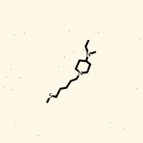 CCN(C)C1CCN(CCCCCSC)CC1